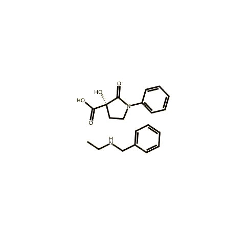 CCNCc1ccccc1.O=C(O)[C@]1(O)CCN(c2ccccc2)C1=O